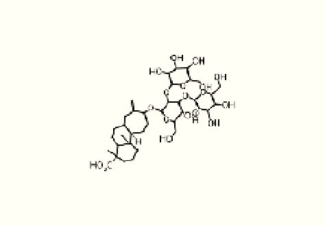 C=C1CC2CCC3[C@](C)(C(=O)O)CCC[C@@]3(C)[C@@H]2CCC1OC1OC(CO)C(O)C(OC2OC(CO)C(O)C(O)C2O)C1OC1OC(CO)C(O)C(O)C1O